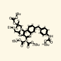 CCOCc1nc2c(N(C(=O)OC(C)(C)C)C(=O)OC(C)(C)C)nc3cc(Cc4ccc(NC(=O)OC(C)(C)C)cc4)ccc3c2n1CC(C)(C)OC(=O)OC(C)(C)C